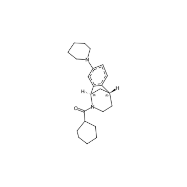 O=C(C1CCCCC1)N1CC[C@@H]2C[C@@H]1c1cc(N3CCCCC3)ccc12